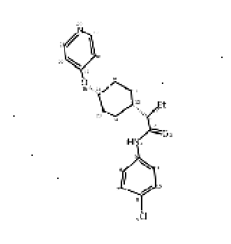 CCC(C(=O)Nc1ccc(Cl)cc1)[C@H]1CC[C@@H](Oc2ccncc2)CC1